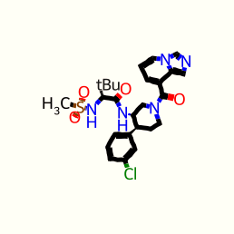 CC(C)(C)[C@H](NS(C)(=O)=O)C(=O)N[C@@H]1CN(C(=O)c2cccn3cncc23)CC[C@H]1c1cccc(Cl)c1